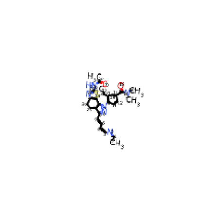 C\C=N/C=C\C=C\c1nn(-c2ccc(C(=O)N(C)C)cc2CC)c2c1CCc1nc(NC(C)=O)sc1-2